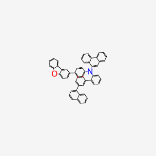 c1cc(-c2ccccc2N(c2ccc(-c3ccc4oc5ccccc5c4c3)cc2)c2cc3ccccc3c3ccccc23)cc(-c2cccc3ccccc23)c1